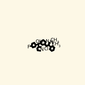 CN(C)c1nc2ccc(C(O)(c3ccc(F)cc3)c3cccnc3)cc2c(Cl)c1-c1ccccc1